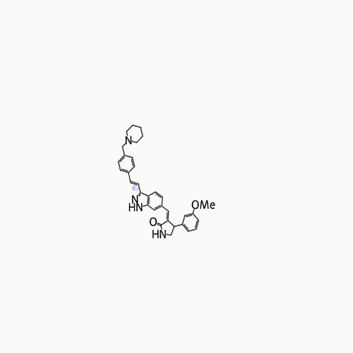 COc1cccc(C2CNC(=O)C2=Cc2ccc3c(/C=C/c4ccc(CN5CCCCC5)cc4)n[nH]c3c2)c1